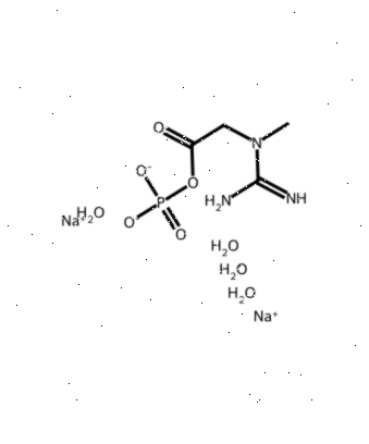 CN(CC(=O)OP(=O)([O-])[O-])C(=N)N.O.O.O.O.[Na+].[Na+]